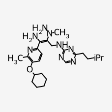 Cc1nc(/C(N)=C(\CNc2ncnc(CCC(C)C)n2)N(C)N)ccc1OC1CCCCC1